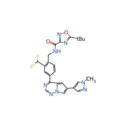 Cn1cc(-c2cc3c(-c4ccc(CNC(=O)c5noc(C(C)(C)C)n5)c(C(F)F)c4)ncnn3c2)cn1